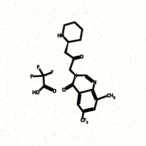 Cc1cc(C(F)(F)F)cc2c(=O)n(CC(=O)C[C@@H]3CCCCN3)cnc12.O=C(O)C(F)(F)F